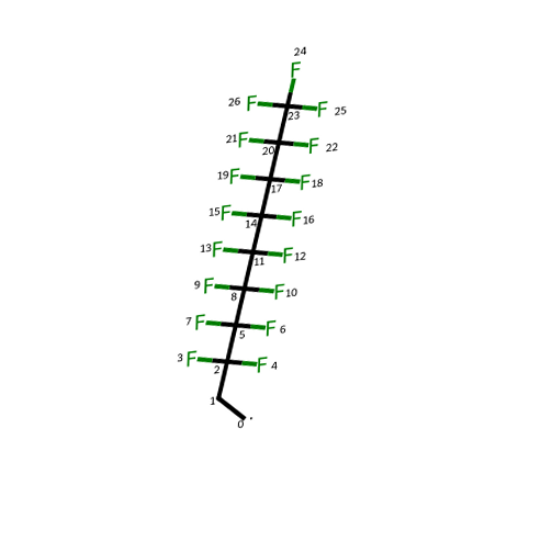 [CH2]CC(F)(F)C(F)(F)C(F)(F)C(F)(F)C(F)(F)C(F)(F)C(F)(F)C(F)(F)F